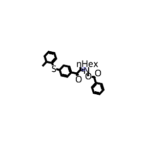 CCCCCC/C(=N/OC(=O)c1ccccc1)C(=O)C1=CCC(SC2=CC=CCC2C)C=C1